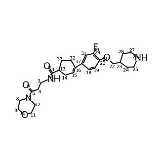 O=C(NCCC(=O)N1CCOCC1)C1CC=C(c2ccc(OCC3CCNCC3)c(F)c2)CC1